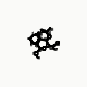 COC(=O)c1cccnc1C(OC(C)=O)OC(C)=O